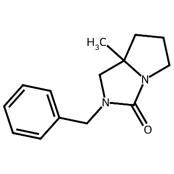 CC12CCCN1C(=O)N(Cc1ccccc1)C2